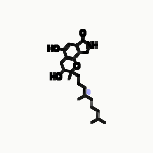 CC(C)=CCC/C(C)=C/CCC1(C)OC2=C(CC1O)C(O)=CC1C(=O)NCC21